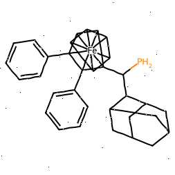 PC(C1C2CC3CC(C2)CC1C3)[C]12[CH]3[CH]4[C]5(c6ccccc6)[C]1(c1ccccc1)[Fe]43521678[CH]2[CH]1[CH]6[CH]7[CH]28